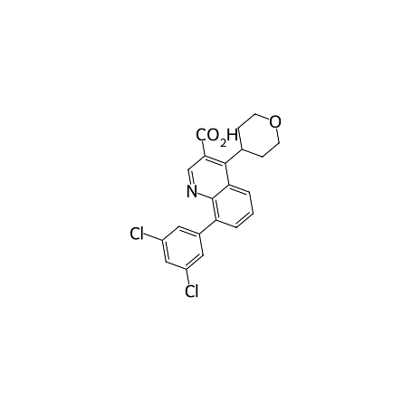 O=C(O)c1cnc2c(-c3cc(Cl)cc(Cl)c3)cccc2c1C1CCOCC1